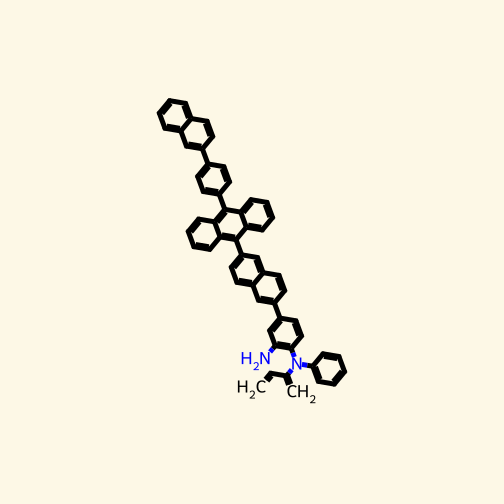 C=CC(=C)N(c1ccccc1)c1ccc(-c2ccc3cc(-c4c5ccccc5c(-c5ccc(-c6ccc7ccccc7c6)cc5)c5ccccc45)ccc3c2)cc1N